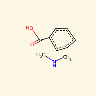 CNC.O=C(O)c1ccccc1